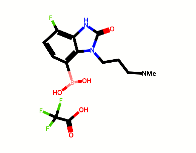 CNCCCn1c(=O)[nH]c2c(F)ccc(B(O)O)c21.O=C(O)C(F)(F)F